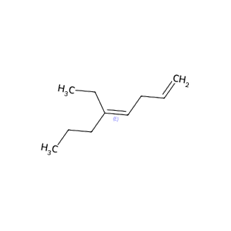 C=CC/C=C(\CC)CCC